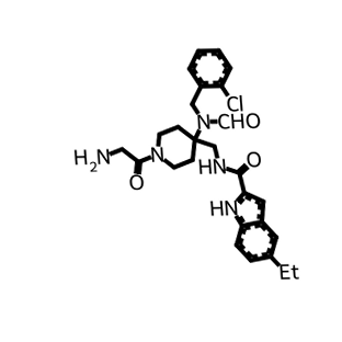 CCc1ccc2[nH]c(C(=O)NCC3(N(C=O)Cc4ccccc4Cl)CCN(C(=O)CN)CC3)cc2c1